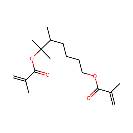 C=C(C)C(=O)OCCCCC(C)C(C)(C)OC(=O)C(=C)C